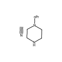 C#N.CCCN1CCNCC1